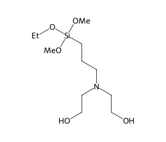 CCO[Si](CCCN(CCO)CCO)(OC)OC